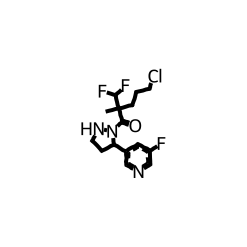 CC(CCCCl)(C(=O)N1NCCC1c1cncc(F)c1)C(F)F